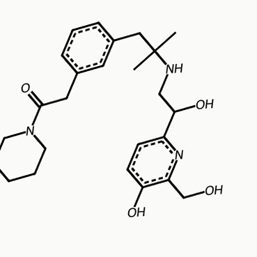 CC(C)(Cc1cccc(CC(=O)N2CCCCC2)c1)NCC(O)c1ccc(O)c(CO)n1